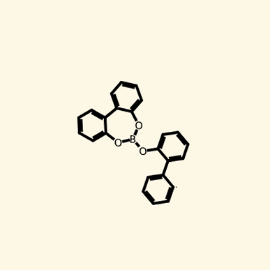 [c]1ccccc1-c1ccccc1OB1Oc2ccccc2-c2ccccc2O1